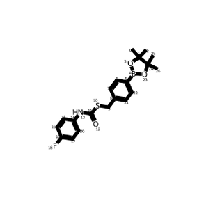 CC1(C)OB(c2ccc(CSC(=O)Nc3ccc(F)cc3)cc2)OC1(C)C